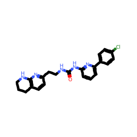 O=C(NCCc1ccc2c(n1)NCCC2)Nc1cccc(-c2ccc(Cl)cc2)n1